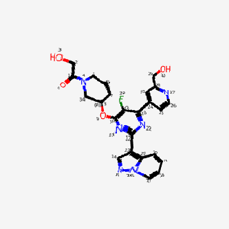 O=C(CO)N1CCC[C@@H](Oc2nc(-c3cnn4ccccc34)nc(-c3ccnc(CO)c3)c2F)C1